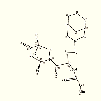 CC(C)(C)OC(=O)N[C@@H](CCC1CC2CCCC(C2)C1)C(=O)N1C[C@@H]2C[C@H]1CC2=O